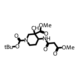 COC(=O)CC(=O)NC1CCN(C(=O)OC(C)(C)C)CC1(C)C(=O)OC